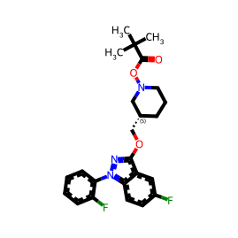 CC(C)(C)C(=O)ON1CCC[C@H](COc2nn(-c3ccccc3F)c3ccc(F)cc23)C1